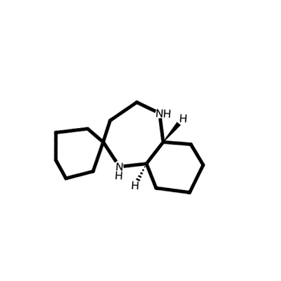 C1CCC2(CC1)CCN[C@@H]1CCCC[C@H]1N2